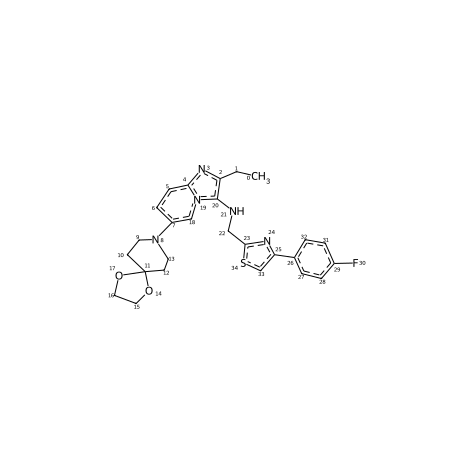 CCc1nc2ccc(N3CCC4(CC3)OCCO4)cn2c1NCc1nc(-c2ccc(F)cc2)cs1